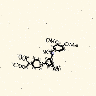 COc1ccc(/C(C#N)=C/c2ccc(N3CCC(C(CC(=O)[O-])C(=O)[O-])CC3)s2)cc1OC.[Na+].[Na+]